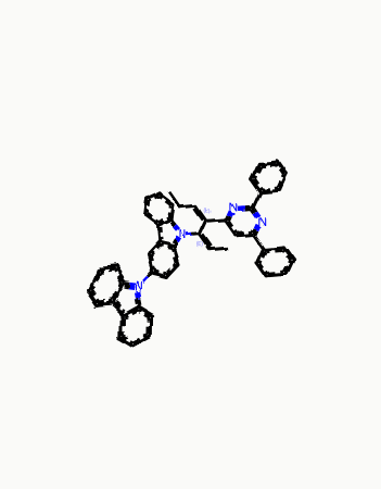 C/C=C(\C(=C/CC)c1cc(-c2ccccc2)nc(-c2ccccc2)n1)n1c2ccccc2c2cc(-n3c4ccccc4c4ccccc43)ccc21